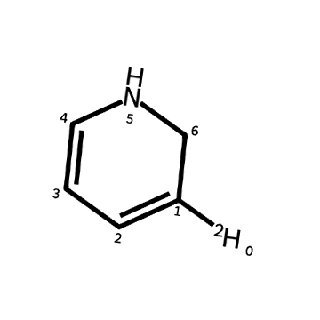 [2H]C1=CC=CNC1